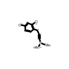 CCCCN(C#CCc1ccc(Cl)cc1Cl)CCCC